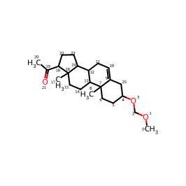 COCOC1CCC2(C)C(=CCC3C2CCC2(C)C(C(C)=O)CCC32)C1